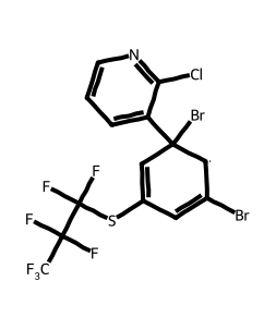 FC(F)(F)C(F)(F)C(F)(F)SC1=CC(Br)(c2cccnc2Cl)[CH]C(Br)=C1